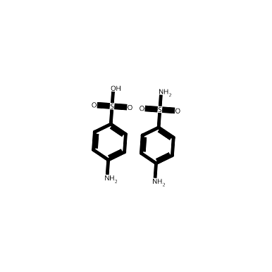 Nc1ccc(S(=O)(=O)O)cc1.Nc1ccc(S(N)(=O)=O)cc1